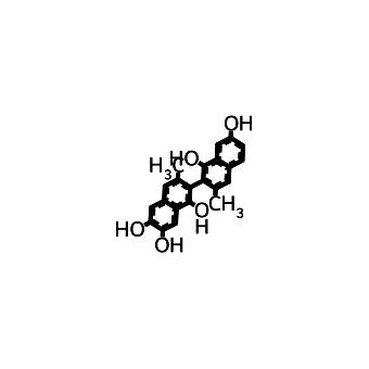 Cc1cc2ccc(O)cc2c(O)c1-c1c(C)cc2cc(O)c(O)cc2c1O